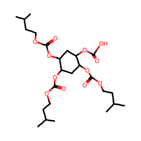 CC(C)CCOC(=O)OC1CC(OC(=O)OCCC(C)C)C(OC(=O)OCCC(C)C)CC1OC(=O)O